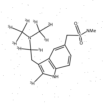 [2H]c1[nH]c2ccc(CS(=O)(=O)NC)cc2c1CC([2H])([2H])N(C([2H])([2H])[2H])C([2H])([2H])[2H]